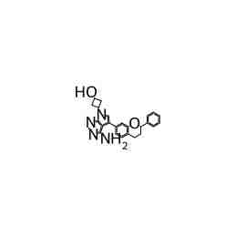 Nc1ncnc2c1c(-c1ccc3c(c1)OC(c1ccccc1)CC3)cn2[C@H]1C[C@H](O)C1